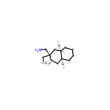 NC[C@]1(CC(=O)O)CC[C@@H]2CCCC[C@@H]2C1